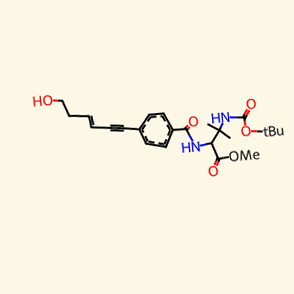 COC(=O)C(NC(=O)c1ccc(C#CC=CCCO)cc1)C(C)(C)NC(=O)OC(C)(C)C